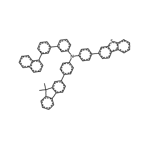 CC1(C)c2ccccc2-c2ccc(-c3ccc(N(c4ccc(-c5ccc6c(c5)sc5ccccc56)cc4)c4cccc(-c5cccc(-c6cccc7ccccc67)c5)c4)cc3)cc21